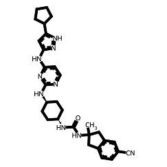 CC1(NC(=O)N[C@H]2CC[C@H](Nc3nccc(Nc4cc(C5CCCC5)[nH]n4)n3)CC2)Cc2ccc(C#N)cc2C1